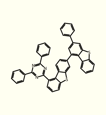 c1ccc(-c2cc(-c3ccc4c(c3)sc3cccc(-c5nc(-c6ccccc6)nc(-c6ccccc6)n5)c34)c3c(c2)sc2ccccc23)cc1